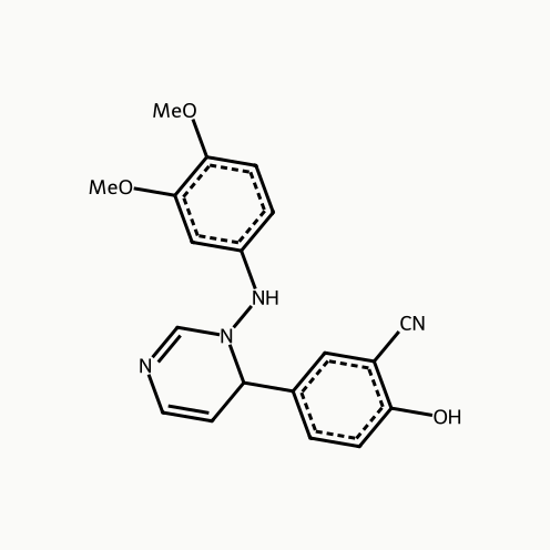 COc1ccc(NN2C=NC=CC2c2ccc(O)c(C#N)c2)cc1OC